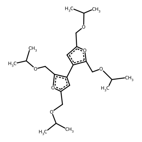 CC(C)OCc1cc(-c2cc(COC(C)C)oc2COC(C)C)c(COC(C)C)o1